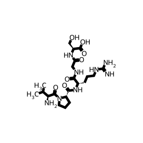 CC(C)[C@H](N)C(=O)N1CCC[C@H]1C(=O)N[C@@H](CCCNC(=N)N)C(=O)NCC(=O)N[C@@H](CO)C(=O)O